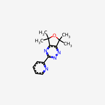 CC1(C)OC(C)(C)c2nc(-c3ccccn3)nnc21